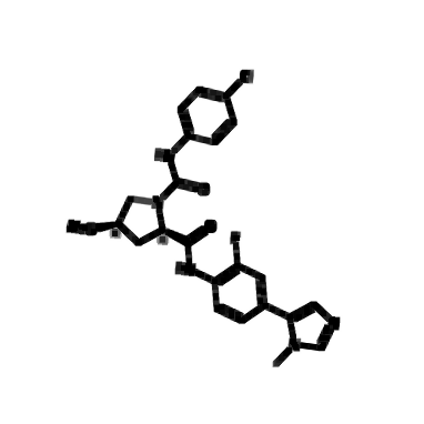 CO[C@@H]1C[C@H](C(=O)Nc2ccc(-c3cncn3C)cc2F)N(C(=O)Nc2ccc(Cl)cc2)C1